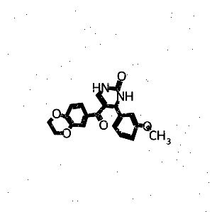 COc1cccc(C2NC(=O)NC=C2C(=O)c2ccc3c(c2)OCCO3)c1